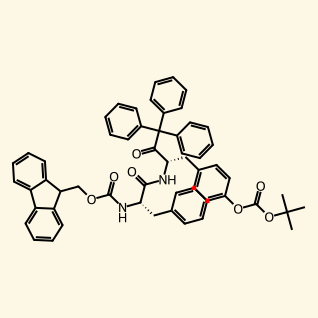 CC(C)(C)OC(=O)Oc1ccc(C[C@H](NC(=O)[C@H](Cc2ccccc2)NC(=O)OCC2c3ccccc3-c3ccccc32)C(=O)C(c2ccccc2)(c2ccccc2)c2ccccc2)cc1